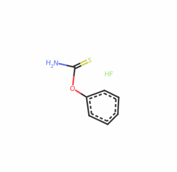 F.NC(=S)Oc1ccccc1